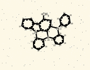 Cc1cc2c3c4c1c1ccccc1n4-c1ccccc1B3c1ccccc1N2c1ccccc1